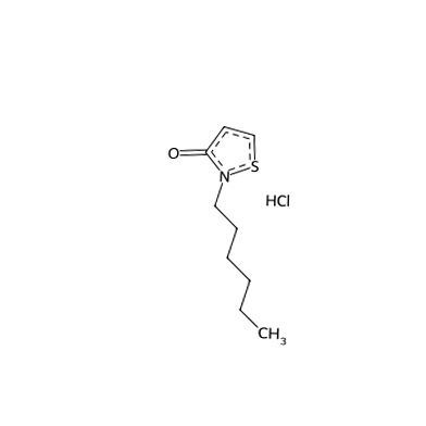 CCCCCCn1sccc1=O.Cl